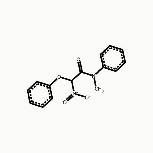 CN(C(=O)C(Oc1ccccc1)[N+](=O)[O-])c1ccccc1